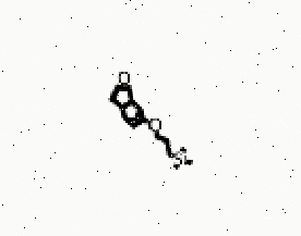 C[Si](C)(C)CCCOC1CC2CC1C1C2CC2OC21